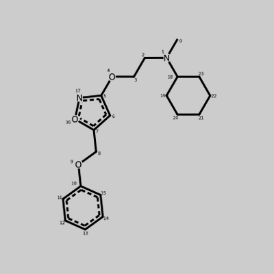 CN(CCOc1cc(COc2ccccc2)on1)C1CCCCC1